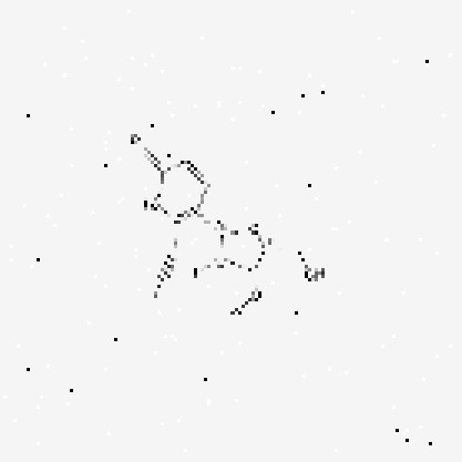 CC#Cc1[nH]c(=O)ccc1[C@@H]1O[C@H](CO)C(OC)[C@@H]1F